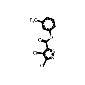 O=C(Oc1cccc(C(F)(F)F)c1)c1snc(Cl)c1Cl